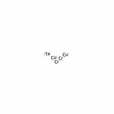 [Cr].[Cr].[Cu].[Cu].[Te]